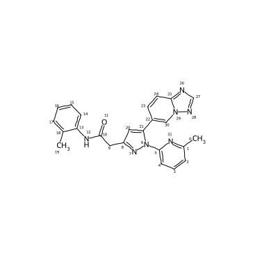 Cc1cccc(-n2nc(CC(=O)Nc3ccccc3C)cc2-c2ccc3ncnn3c2)n1